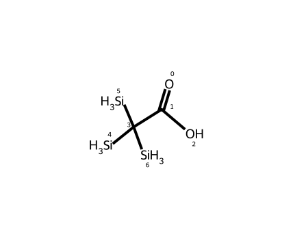 O=C(O)C([SiH3])([SiH3])[SiH3]